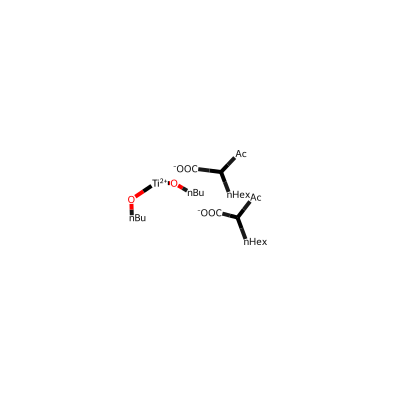 CCCCCCC(C(C)=O)C(=O)[O-].CCCCCCC(C(C)=O)C(=O)[O-].CCCC[O][Ti+2][O]CCCC